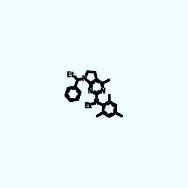 CCC(c1ccccc1)N1CCc2c(C)nc(N(CC)c3c(C)cc(C)cc3C)nc21